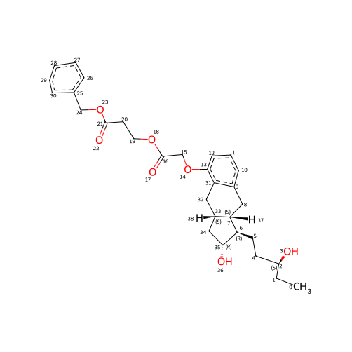 CC[C@H](O)CC[C@@H]1[C@H]2Cc3cccc(OCC(=O)OCCC(=O)OCc4ccccc4)c3C[C@H]2C[C@H]1O